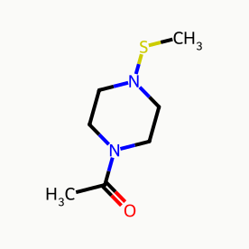 CSN1CCN(C(C)=O)CC1